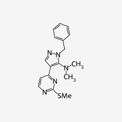 CSc1nccc(-c2cnn(Cc3ccccc3)c2N(C)C)n1